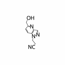 N#CCCn1ncc2nc(CO)ccc21